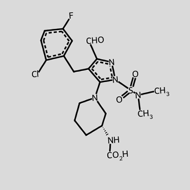 CN(C)S(=O)(=O)n1nc(C=O)c(Cc2cc(F)ccc2Cl)c1N1CCC[C@@H](NC(=O)O)C1